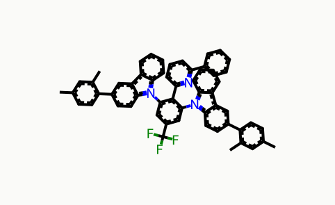 Cc1ccc(-c2ccc3c(c2)c2ccccc2n3-c2cc(C(F)(F)F)cc(-n3c4ccccc4c4cc(-c5ccc(C)cc5C)ccc43)c2-c2cccc(-c3ccccc3)n2)c(C)c1